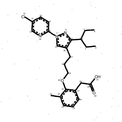 CCC(CC)c1nn(-c2ccc(Cl)cn2)cc1CCCOc1c(C)cccc1CC(=O)O